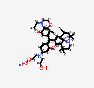 Cc1c(-c2c3cc/c(=[N+](/CCO)CCOOI)cc-3oc3c4c5c(cc23)C(C)CC(C)(C)N5CCC4(C)C)cc2c3c1OCCN3CCO2